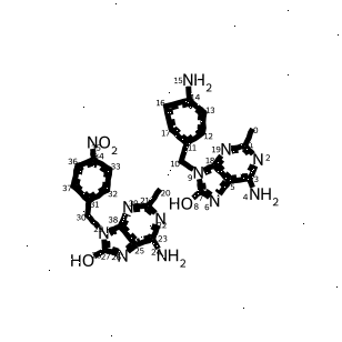 Cc1nc(N)c2nc(O)n(Cc3ccc(N)cc3)c2n1.Cc1nc(N)c2nc(O)n(Cc3ccc([N+](=O)[O-])cc3)c2n1